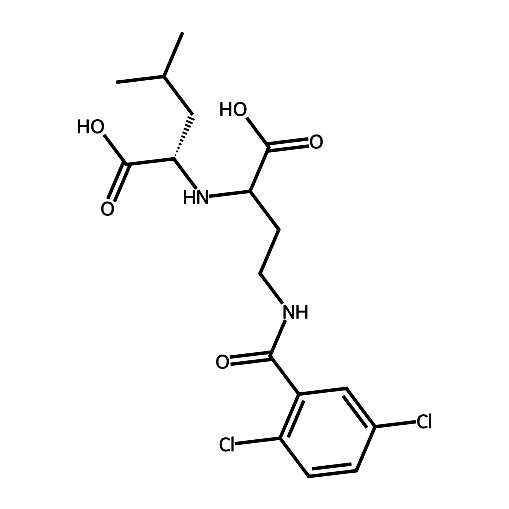 CC(C)C[C@H](NC(CCNC(=O)c1cc(Cl)ccc1Cl)C(=O)O)C(=O)O